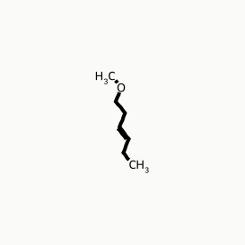 CCC=CCCOC